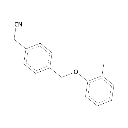 Cc1ccccc1OCc1ccc(CC#N)cc1